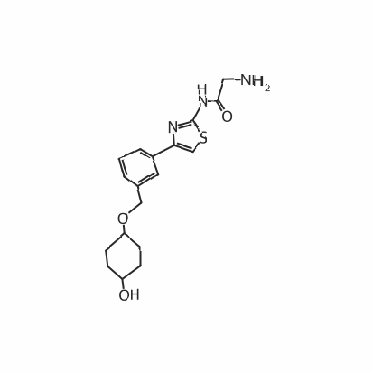 NCC(=O)Nc1nc(-c2cccc(COC3CCC(O)CC3)c2)cs1